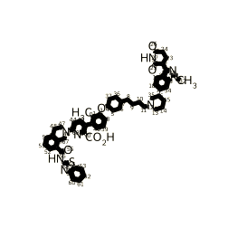 Cc1c(OC2CCC(CCCCN3CCC[C@@H](c4ccc5c(C6CCC(=O)NC6=O)nn(C)c5c4)C3)CC2)cccc1-c1ccc(N2CCc3cccc(C(=O)Nc4nc5ccccc5s4)c3C2)nc1C(=O)O